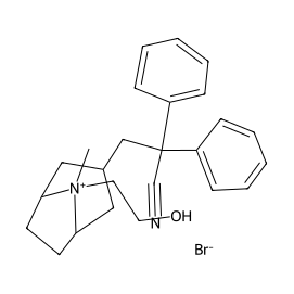 C[N+]1(CCO)C2CCC1CC(CC(C#N)(c1ccccc1)c1ccccc1)C2.[Br-]